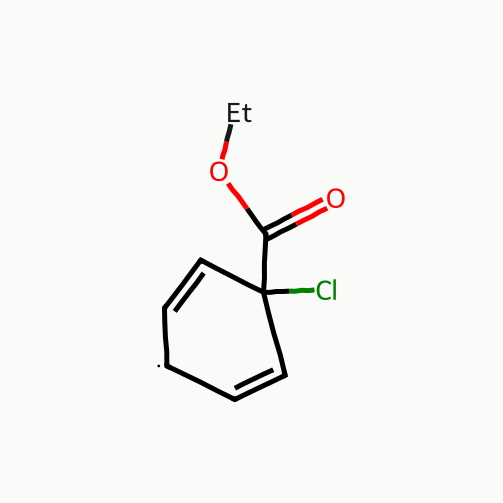 CCOC(=O)C1(Cl)C=C[CH]C=C1